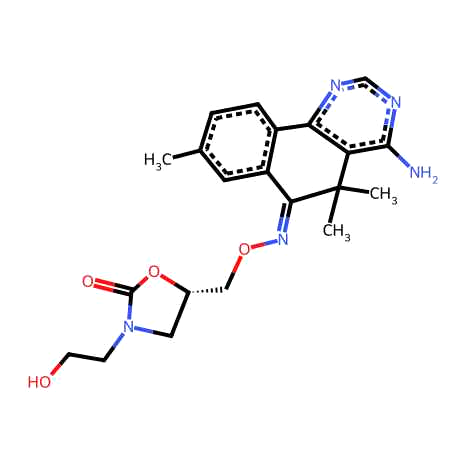 Cc1ccc2c(c1)/C(=N\OC[C@@H]1CN(CCO)C(=O)O1)C(C)(C)c1c(N)ncnc1-2